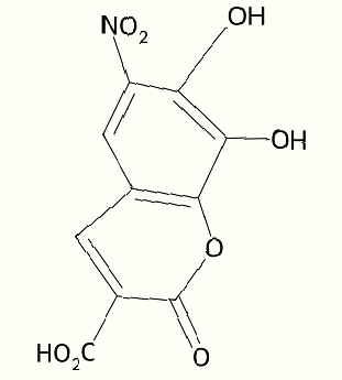 O=C(O)c1cc2cc([N+](=O)[O-])c(O)c(O)c2oc1=O